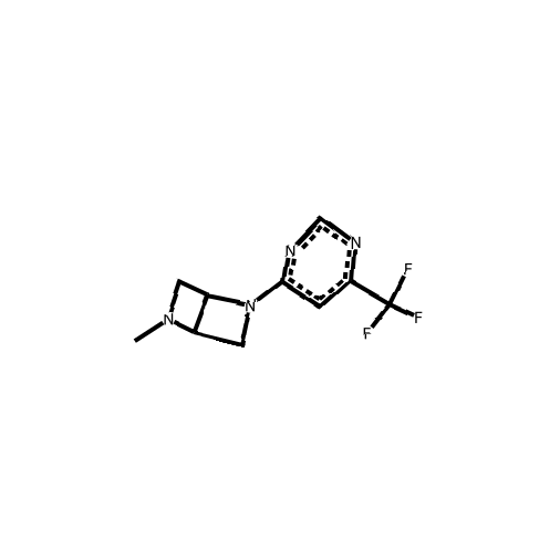 CN1CC2C1CN2c1cc(C(F)(F)F)ncn1